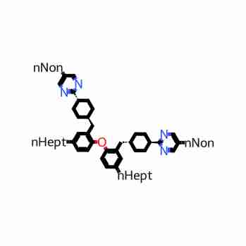 CCCCCCCCCc1cnc([C@H]2CC[C@H](Cc3cc(CCCCCCC)ccc3Oc3ccc(CCCCCCC)cc3C[C@H]3CC[C@H](c4ncc(CCCCCCCCC)cn4)CC3)CC2)nc1